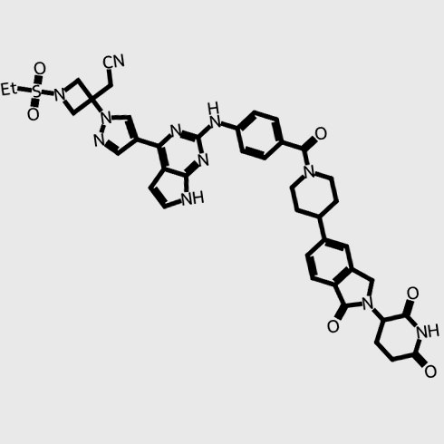 CCS(=O)(=O)N1CC(CC#N)(n2cc(-c3nc(Nc4ccc(C(=O)N5CCC(c6ccc7c(c6)CN(C6CCC(=O)NC6=O)C7=O)CC5)cc4)nc4[nH]ccc34)cn2)C1